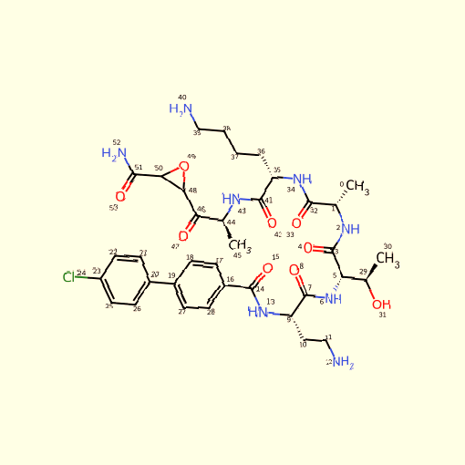 C[C@H](NC(=O)[C@@H](NC(=O)[C@H](CCN)NC(=O)c1ccc(-c2ccc(Cl)cc2)cc1)[C@@H](C)O)C(=O)N[C@@H](CCCCN)C(=O)N[C@@H](C)C(=O)C1OC1C(N)=O